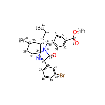 CC(C)OC(=O)c1ccc([C@@H](CCC(C)(C)C)N2C(=O)C(c3cccc(Br)c3)=NC23CCC(C(C)C)CC3)cc1